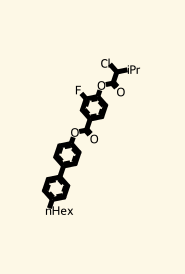 CCCCCCc1ccc(-c2ccc(OC(=O)c3ccc(OC(=O)C(Cl)C(C)C)c(F)c3)cc2)cc1